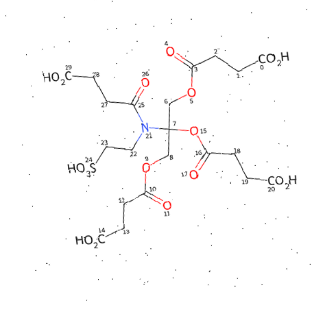 O=C(O)CCC(=O)OCC(COC(=O)CCC(=O)O)(OC(=O)CCC(=O)O)N(CCS(=O)(=O)O)C(=O)CCC(=O)O